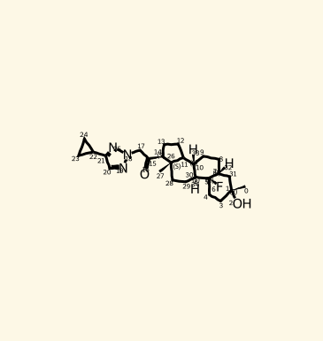 C[C@@]1(O)CC[C@@]2(F)[C@H](CC[C@H]3C4CC[C@H](C(=O)Cn5ncc(C6CC6)n5)[C@@]4(C)CC[C@@H]32)C1